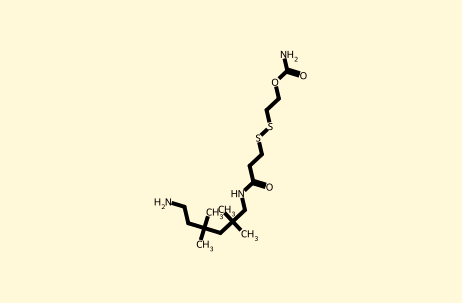 CC(C)(CCN)CC(C)(C)CNC(=O)CCSSCCOC(N)=O